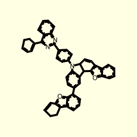 C1=CCCC(c2nc(-c3ccc(N4c5ccc(-c6cccc7c8c(oc67)C=CCC8)cc5C5c6oc7ccccc7c6C=CC54)cc3)nc3ccccc23)=C1